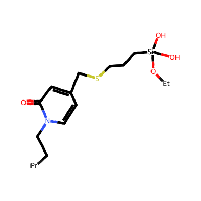 CCO[Si](O)(O)CCCSCc1ccn(CCC(C)C)c(=O)c1